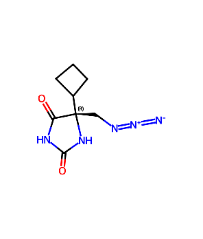 [N-]=[N+]=NC[C@@]1(C2CCC2)NC(=O)NC1=O